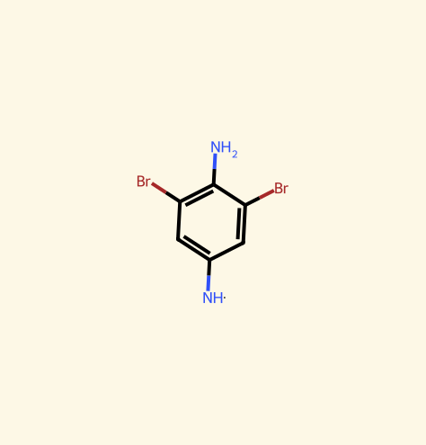 [NH]c1cc(Br)c(N)c(Br)c1